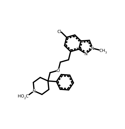 Cn1cc2cc(Cl)cc(CCOCC3(c4ccccc4)CCN(C(=O)O)CC3)c2n1